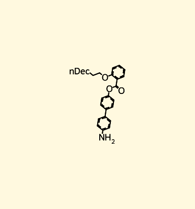 CCCCCCCCCCCCOc1ccccc1C(=O)Oc1ccc(-c2ccc(N)cc2)cc1